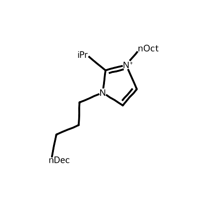 CCCCCCCCCCCCCn1cc[n+](CCCCCCCC)c1C(C)C